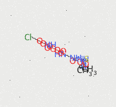 CCN(C(=O)Cn1c(C(=O)N[C@H]2CC[C@H](C(=O)NCCCCCCNC(=O)OCCOCCOCCOC(=O)NCCOCCOCCCCCCCl)CC2)cc2sccc21)c1cccc(C)c1